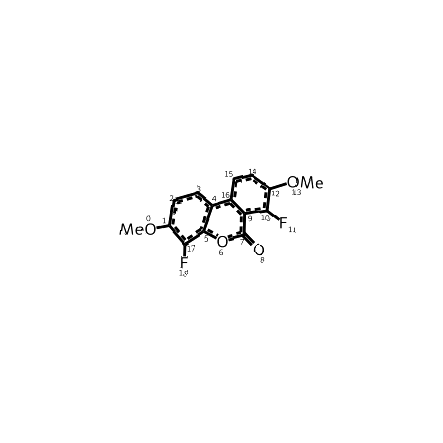 COc1ccc2c(oc(=O)c3c(F)c(OC)ccc32)c1F